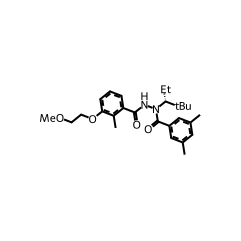 CC[C@@H](N(NC(=O)c1cccc(OCCOC)c1C)C(=O)c1cc(C)cc(C)c1)C(C)(C)C